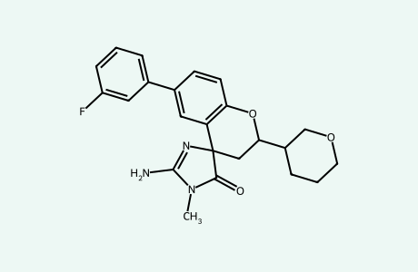 CN1C(=O)C2(CC(C3CCCOC3)Oc3ccc(-c4cccc(F)c4)cc32)N=C1N